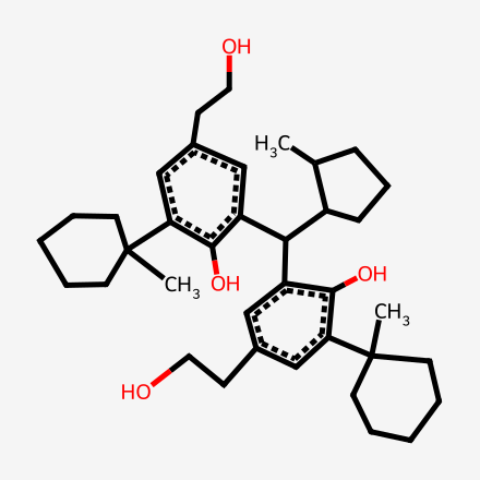 CC1CCCC1C(c1cc(CCO)cc(C2(C)CCCCC2)c1O)c1cc(CCO)cc(C2(C)CCCCC2)c1O